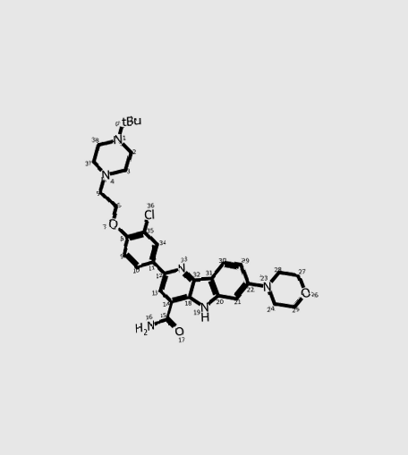 CC(C)(C)N1CCN(CCOc2ccc(-c3cc(C(N)=O)c4[nH]c5cc(N6CCOCC6)ccc5c4n3)cc2Cl)CC1